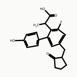 CC(C(=O)O)c1c(F)cc(CC2CCCC2=O)cc1-c1ccc(O)cc1